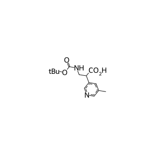 Cc1cncc(C(CNC(=O)OC(C)(C)C)C(=O)O)c1